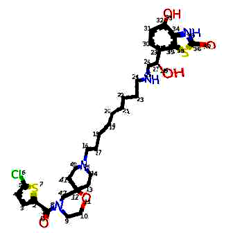 O=C(c1ccc(Cl)s1)N1CCOC2(CCN(CCCCCCCCCNC[C@H](O)c3ccc(O)c4[nH]c(=O)sc34)CC2)C1